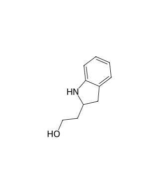 OCCC1Cc2ccccc2N1